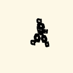 Clc1ccc(NN(Nc2ccc(Cl)cc2)c2ccc(Cl)cc2)cc1